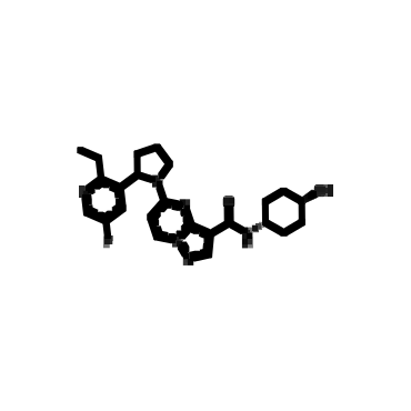 CCc1ncc(F)cc1C1CCCN1c1ccn2ncc(C(=O)N[C@H]3CC[C@H](O)CC3)c2n1